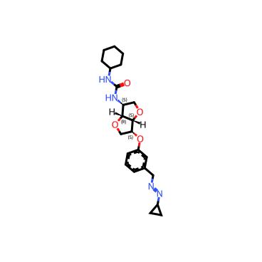 O=C(NC1CCCCC1)N[C@H]1CO[C@H]2[C@@H]1OC[C@@H]2Oc1cccc(CN=NC2CC2)c1